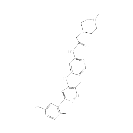 Cc1nnc(-c2cc(Cl)ccc2F)cc1Nc1ccnc(NC(=O)CN2CCN(C)CC2)c1